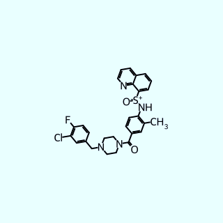 Cc1cc(C(=O)N2CCN(Cc3ccc(F)c(Cl)c3)CC2)ccc1N[S+]([O-])c1cccc2cccnc12